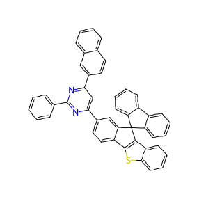 c1ccc(-c2nc(-c3ccc4c(c3)C3(c5ccccc5-c5ccccc53)c3c-4sc4ccccc34)cc(-c3ccc4ccccc4c3)n2)cc1